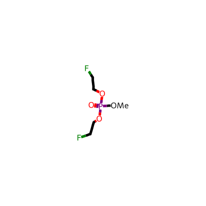 COP(=O)(OCCF)OCCF